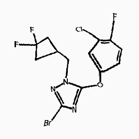 Fc1ccc(Oc2nc(Br)nn2CC2CC(F)(F)C2)cc1Cl